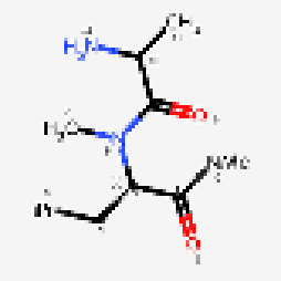 CNC(=O)[C@@H](CC(C)C)N(C)C(=O)C(C)N